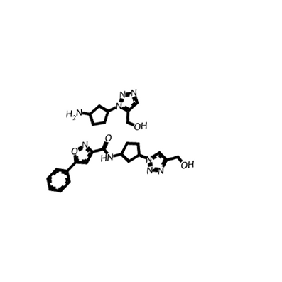 NC1CCC(n2nncc2CO)C1.O=C(NC1CCC(n2cc(CO)nn2)C1)c1cc(-c2ccccc2)on1